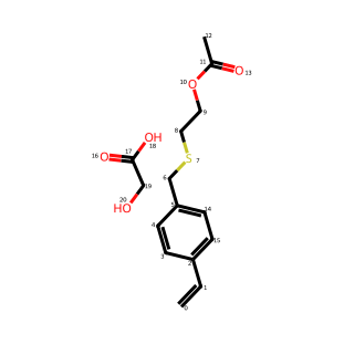 C=Cc1ccc(CSCCOC(C)=O)cc1.O=C(O)CO